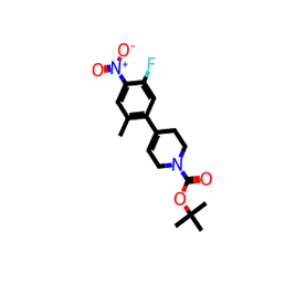 Cc1cc([N+](=O)[O-])c(F)cc1C1=CCN(C(=O)OC(C)(C)C)CC1